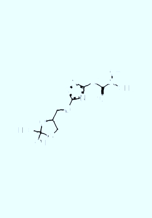 CN(C)C(=O)Sc1nsc(OCC2COC(C)(C)O2)n1